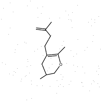 C=C(C)CCC1=C(C)OCC(C)C1